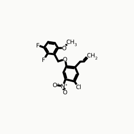 C=CCc1cc(Cl)c([N+](=O)[O-])cc1OCc1c(OC)ccc(F)c1F